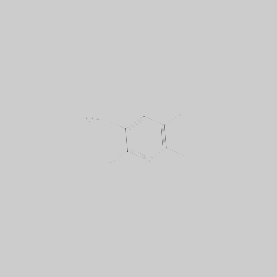 COc1cc(F)c(Cl)nc1I